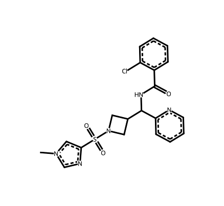 Cn1cnc(S(=O)(=O)N2CC(C(NC(=O)c3ccccc3Cl)c3ccccn3)C2)c1